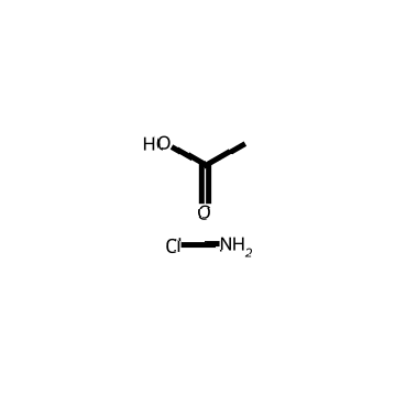 CC(=O)O.NCl